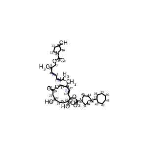 C/C(=C\C=C\[C@@H](C)COC(=O)N1CC[C@@H](O)C1)[C@H]1OC(=O)C[C@@H](O)CC[C@](C)(O)[C@H](OC(=O)N2CCN(C3CCCCCC3)CC2)/C=C/[C@@H]1C